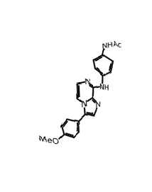 COc1ccc(-c2cnc3c(Nc4ccc(NC(C)=O)cc4)nccn23)cc1